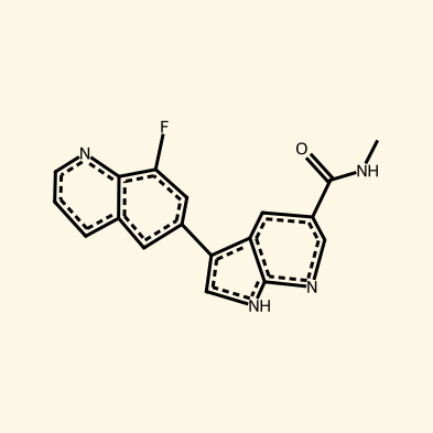 CNC(=O)c1cnc2[nH]cc(-c3cc(F)c4ncccc4c3)c2c1